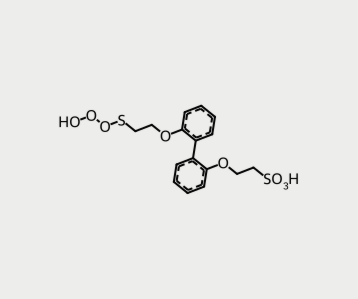 O=S(=O)(O)CCOc1ccccc1-c1ccccc1OCCSOOO